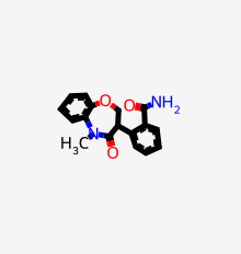 CN1C(=O)C(c2ccccc2C(N)=O)COc2ccccc21